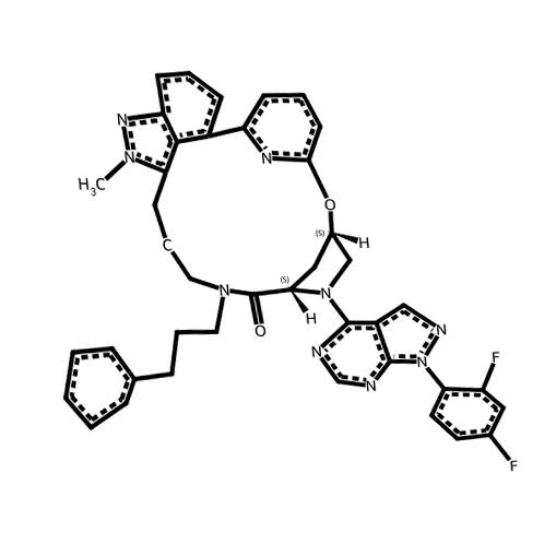 Cn1nc2cccc3c2c1CCCN(CCCc1ccccc1)C(=O)[C@@H]1C[C@@H](CN1c1ncnc2c1cnn2-c1ccc(F)cc1F)Oc1cccc-3n1